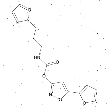 O=C(NCCCn1nccn1)Oc1cc(-c2ccco2)on1